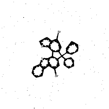 Brc1cc2c(c3sccc13)-c1c(cc(Br)c3c1sc1ccccc13)C2(c1ccccc1)c1ccccc1